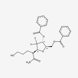 NC(=O)N(CCCO)[C@@H]1O[C@H](COC(=O)c2ccccc2)[C@@H](OC(=O)c2ccccc2)C1(F)F